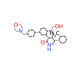 Cc1ccccc1-c1c[nH]c(=O)c2c1cc(CO)c1ccc(-c3ccc(CN4CCOCC4)cc3)cc12